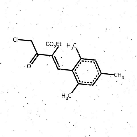 CCOC(=O)C(=Cc1c(C)cc(C)cc1C)C(=O)CCl